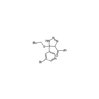 CCC(C)CSC1(c2cncc(Br)c2)NN=NC1C(=O)C(C)C